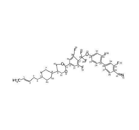 C/C=C/CCC1CCC(C2COC(c3cc(F)c(C(F)(F)Oc4ccc(-c5ccc(C#N)c(F)c5)c(F)c4)c(F)c3)OC2)CC1